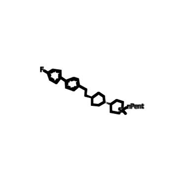 CCCCC[Si]1(C)CCC([C@H]2CC[C@H](CCc3ccc(-c4ccc(F)cc4)cc3)CC2)CC1